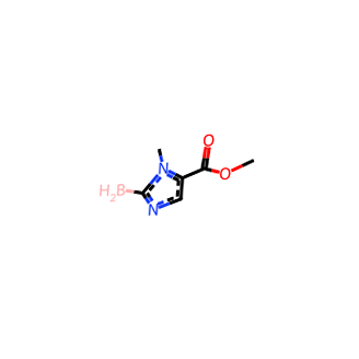 Bc1ncc(C(=O)OC)n1C